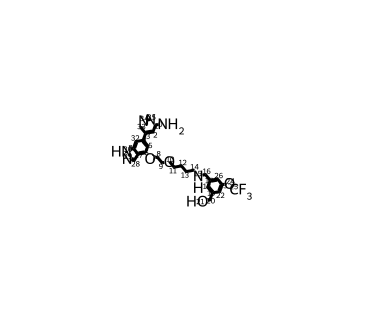 Nc1cc(-c2cc(OCCOCCCCNCc3cc(CO)cc(OC(F)(F)F)c3)c3cn[nH]c3c2)cnn1